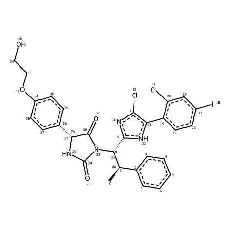 C[C@H](c1ccccc1)[C@@H](c1nc(Cl)c(-c2ccc(I)cc2Cl)[nH]1)N1C(=O)N[C@H](c2ccc(OCCO)cc2)C1=O